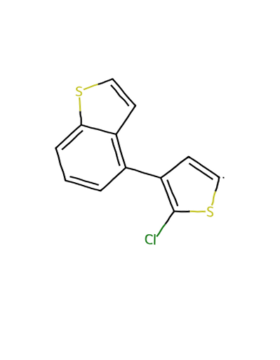 Clc1s[c]cc1-c1cccc2sccc12